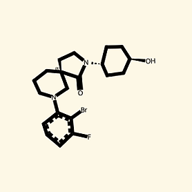 O=C1N([C@H]2CC[C@H](O)CC2)CC[C@@]12CCCN(c1cccc(F)c1Br)C2